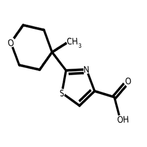 CC1(c2nc(C(=O)O)cs2)CCOCC1